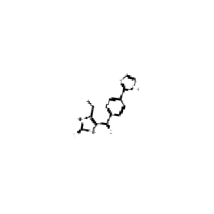 CCc1[nH]c(=O)[nH]c1C(=O)c1ccc(-c2ncc[nH]2)cc1